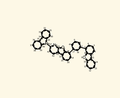 c1cc(-c2cccc3c2oc2ccccc23)cc(-c2cccc3c2oc2nc(-n4c5ccccc5c5ccccc54)ccc23)c1